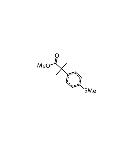 COC(=O)C(C)(C)c1ccc(SC)cc1